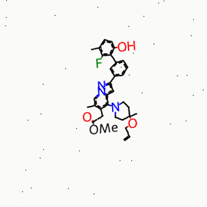 C=CCOC1(C)CCN(c2c(CC(=O)OC)c(C)cn3nc(-c4cccc(-c5c(O)ccc(C)c5F)c4)cc23)CC1